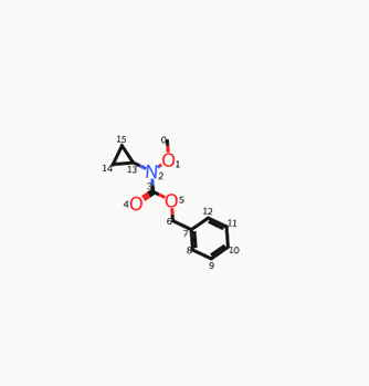 CON(C(=O)OCc1ccccc1)C1CC1